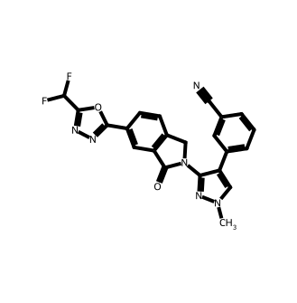 Cn1cc(-c2cccc(C#N)c2)c(N2Cc3ccc(-c4nnc(C(F)F)o4)cc3C2=O)n1